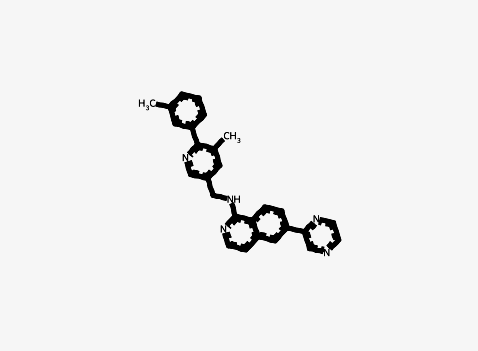 Cc1cccc(-c2ncc(CNc3nccc4cc(-c5cnccn5)ccc34)cc2C)c1